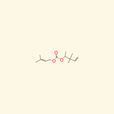 C=CC(C)(C)C(C)OC(=O)OCC=C(C)C